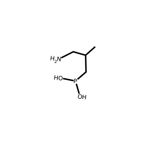 CC(CN)CP(O)O